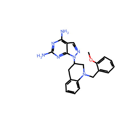 COc1ccccc1CN1CC(n2ncc3c(N)nc(N)nc32)Cc2ccccc21